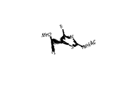 COC(=O)c1sc(NC(C)=O)nc1F